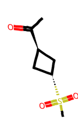 CC(=O)[C@H]1C[C@H](S(C)(=O)=O)C1